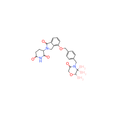 BC1OCC(=O)N(Cc2ccc(COc3cccc4c3CN(C3CCC(=O)NC3=O)C4=O)cc2)C1(B)B